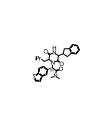 CC(C)CC1C(=O)NC(C2Cc3ccccc3C2)C(=O)N1[C@@H](C(=O)N(C)C)c1ccc2sccc2c1